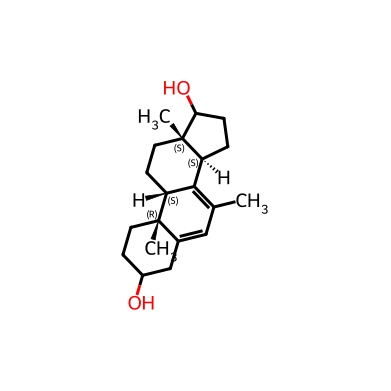 CC1=C2[C@@H](CC[C@]3(C)C(O)CC[C@@H]23)[C@@]2(C)CCC(O)CC2=C1